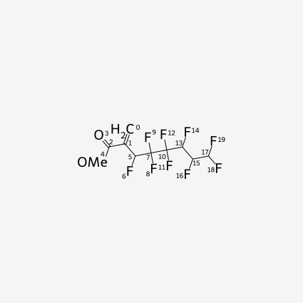 C=C(C(=O)OC)C(F)C(F)(F)C(F)(F)C(F)C(F)C(F)F